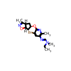 CCN(C)/C=N/c1cc(Br)c(O[C@H]2C[C@@H]3ON=C(C)[C@@H]3C2)nc1C